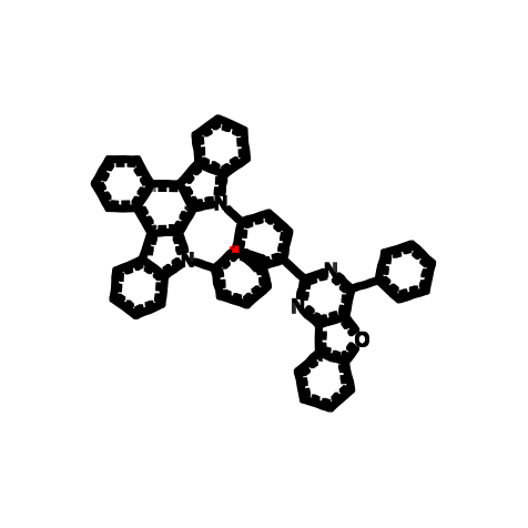 c1ccc(-c2nc(-c3ccc(-n4c5ccccc5c5c6ccccc6c6c7ccccc7n(-c7ccccc7)c6c54)cc3)nc3c2oc2ccccc23)cc1